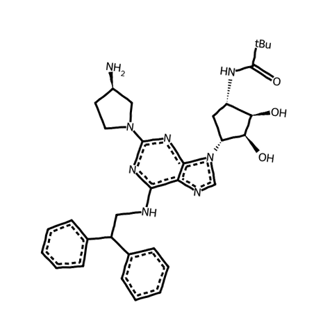 CC(C)(C)C(=O)N[C@H]1C[C@@H](n2cnc3c(NCC(c4ccccc4)c4ccccc4)nc(N4CC[C@@H](N)C4)nc32)[C@H](O)[C@@H]1O